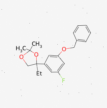 CCC1(c2cc(F)cc(OCc3ccccc3)c2)COC(C)(C)O1